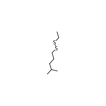 CCSSCCCC(C)C